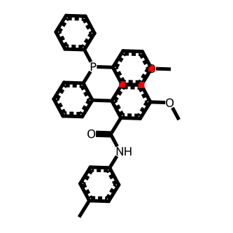 COc1cc(C(=O)Nc2ccc(C)cc2)c(-c2ccccc2P(c2ccccc2)c2ccccc2)cc1OC